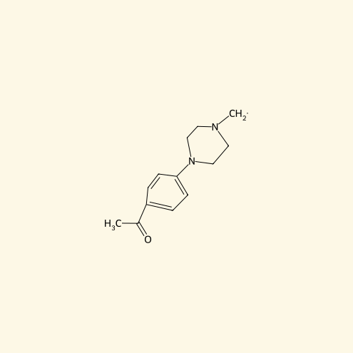 [CH2]N1CCN(c2ccc(C(C)=O)cc2)CC1